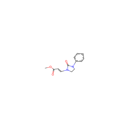 COC(=O)C=CN1CCN(c2ccccc2)C1=O